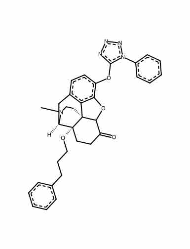 CN1CC[C@]23c4c5ccc(Oc6nnnn6-c6ccccc6)c4OC2C(=O)CC[C@@]3(OCCCc2ccccc2)[C@H]1C5